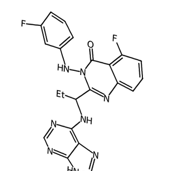 CCC(Nc1ncnc2[nH]cnc12)c1nc2cccc(F)c2c(=O)n1Nc1cccc(F)c1